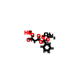 COC(OC)(OC(=O)CC(=O)OO)c1ccccc1